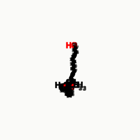 C[C@@H](CCCC#CCCCCCCC#CCCCO)O[Si](c1ccccc1)(c1ccccc1)C(C)(C)C